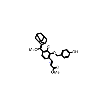 COC(=O)/C=C/c1ccc(C(OC)=C2C3CC4CC(C3)CC2C4)c(Cl)c1OCc1ccc(O)cc1